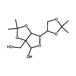 CC1(C)OCC(C2OC(O)C3(CO)OC(C)(C)OC23)O1